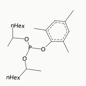 CCCCCCC(C)OP(Oc1c(C)cc(C)cc1C)OC(C)CCCCCC